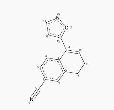 N#Cc1ccc2c(c1)CCC=C2c1ccno1